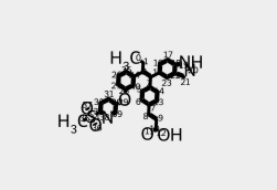 CC/C(=C(/c1ccc(/C=C/C(=O)O)cc1)c1ccc2[nH]ncc2c1)c1cccc(Oc2ccc(S(C)(=O)=O)nc2)c1